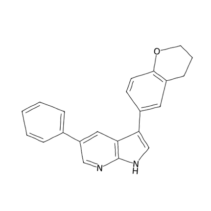 c1ccc(-c2cnc3[nH]cc(-c4ccc5c(c4)CCCO5)c3c2)cc1